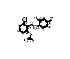 CC(=O)Sc1cccc(Cl)c1COc1ccc(C)cc1C